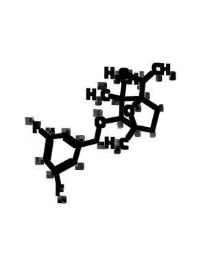 CC(C)C12CCC(C)(O1)C(OCc1cc(F)cc(F)c1)C2(C)C